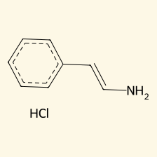 Cl.NC=Cc1ccccc1